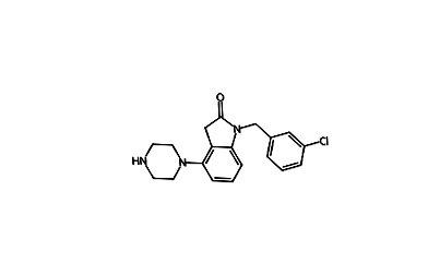 O=C1Cc2c(N3CCNCC3)cccc2N1Cc1cccc(Cl)c1